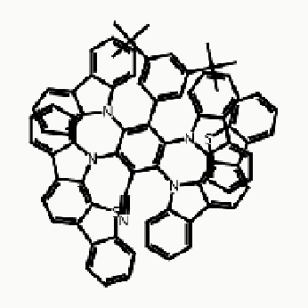 CC(C)(C)c1cc(-c2c(-n3c4ccccc4c4ccccc43)c(-n3c4ccccc4c4ccc5c6ccccc6sc5c43)c(C#N)c(-n3c4ccccc4c4ccc5c6ccccc6sc5c43)c2-n2c3ccccc3c3ccccc32)cc(C(C)(C)C)c1